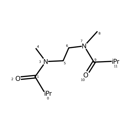 CC(C)C(=O)N(C)CCN(C)C(=O)C(C)C